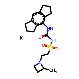 CC1CCN1CCS(=O)(=O)NC(=O)Nc1c2c(cc3c1CCC3)CCC2.[K]